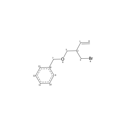 C=CC(CBr)COCc1ccccc1